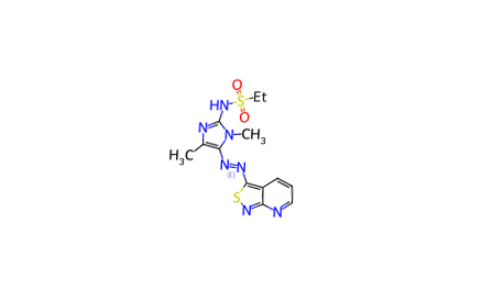 CCS(=O)(=O)Nc1nc(C)c(/N=N/c2snc3ncccc23)n1C